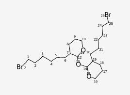 BrCCCCCCC1CCCOC1OC1OCCCC1CCCCCCBr